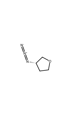 [N-]=[N+]=N[C@H]1CCOC1